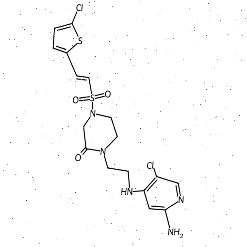 Nc1cc(NCCN2CCN(S(=O)(=O)C=Cc3ccc(Cl)s3)CC2=O)c(Cl)cn1